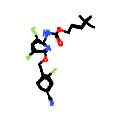 CC(C)(C)C=CCOC(=O)Nc1nc(OCc2ccc(C#N)cc2F)c(F)cc1F